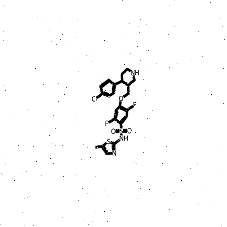 Cc1cnc(NS(=O)(=O)c2cc(F)c(OCC3CNCCC3c3ccc(Cl)cc3)cc2F)s1